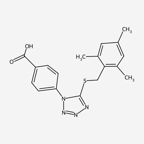 Cc1cc(C)c(CSc2nnnn2-c2ccc(C(=O)O)cc2)c(C)c1